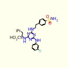 CC(C)C[C@@H](Nc1nc(NCCc2ccc(S(N)(=O)=O)cc2)nc(Nc2cccc(F)c2)n1)C(=O)O